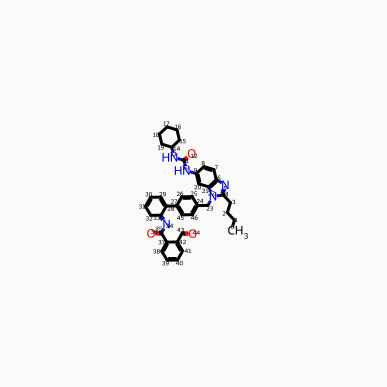 CCCCc1nc2ccc(NC(=O)NC3CCCCC3)cc2n1Cc1ccc(C2=CC=CCC2=NC(=O)c2ccccc2C=O)cc1